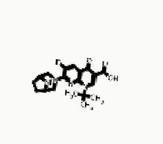 CC(C)(C)n1cc(C(=O)O)c(=O)c2cc(F)c(N3CC4CCC(C3)N4)nc21